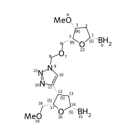 B[C@H]1C[C@@H](OC)[C@@H](COCn2cc([C@@H]3C[C@H](B)O[C@@H]3COC)nn2)O1